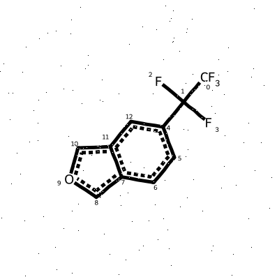 FC(F)(F)C(F)(F)c1ccc2[c]occ2c1